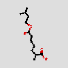 CC(C)CCOC(=O)CCCCC(C)C(=O)O